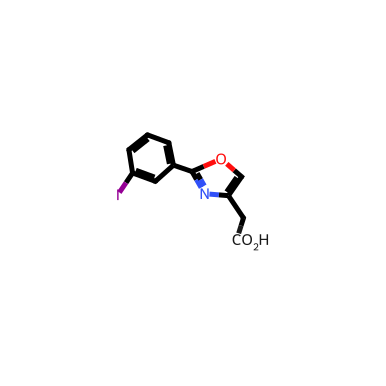 O=C(O)Cc1coc(-c2cccc(I)c2)n1